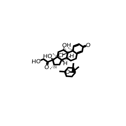 CC12CCC(CC1)C(C)(C)O2.C[C@H]1C[C@H]2[C@@H]3CCC4=CC(=O)C=C[C@]4(C)[C@@]3(Cl)[C@@H](O)C[C@]2(C)[C@@]1(O)C(=O)CO